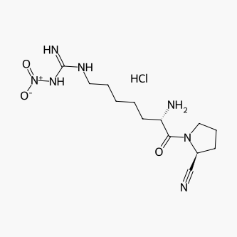 Cl.N#C[C@@H]1CCCN1C(=O)[C@@H](N)CCCCCNC(=N)N[N+](=O)[O-]